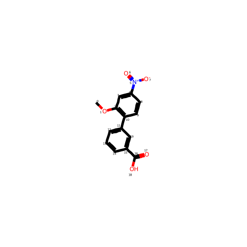 COc1cc([N+](=O)[O-])ccc1-c1cccc(C(=O)O)c1